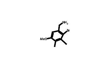 COc1cc(CN)c(Br)c(C)c1C